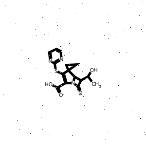 CC(O)C1C(=O)N2C(C(=O)O)=C(Sc3ncccn3)C3(CC3)C12